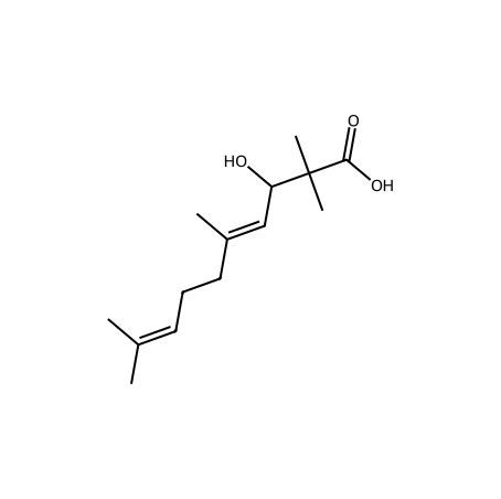 CC(C)=CCC/C(C)=C/C(O)C(C)(C)C(=O)O